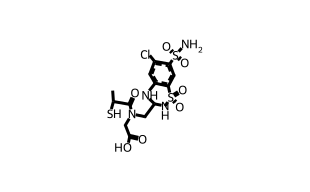 CC(S)C(=O)N(CC(=O)O)CC1Nc2cc(Cl)c(S(N)(=O)=O)cc2S(=O)(=O)N1